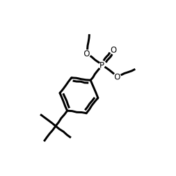 COP(=O)(OC)c1ccc(C(C)(C)C)cc1